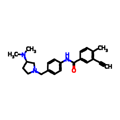 C#Cc1cc(C(=O)Nc2ccc(CN3CC[C@@H](N(C)C)C3)cc2)ccc1C